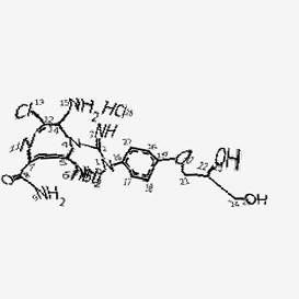 CCCCN(C(=N)N1C(N)=C(C(N)=O)N=C(Cl)C1N)c1ccc(OC[C@@H](O)CO)cc1.Cl